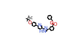 CC(=O)C(C)(C)COc1ccc(-c2ccc(-c3nc(-c4cccc(C(=O)OCc5ccccc5)c4)c[nH]3)cn2)cc1